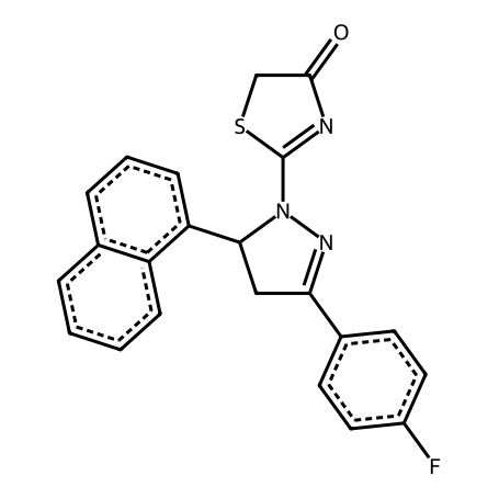 O=C1CSC(N2N=C(c3ccc(F)cc3)CC2c2cccc3ccccc23)=N1